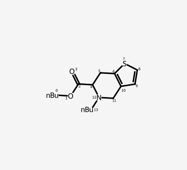 CCCCOC(=O)C1Cc2sccc2CN1CCCC